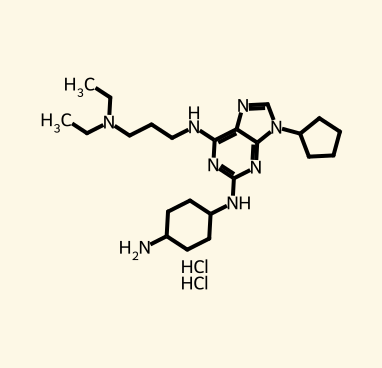 CCN(CC)CCCNc1nc(NC2CCC(N)CC2)nc2c1ncn2C1CCCC1.Cl.Cl